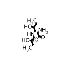 CCC(O)CNCC(O)CC.NCC(=O)O